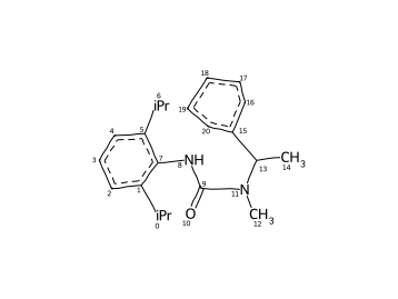 CC(C)c1cccc(C(C)C)c1NC(=O)N(C)C(C)c1ccccc1